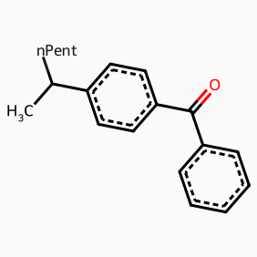 CCCCCC(C)c1ccc(C(=O)c2ccccc2)cc1